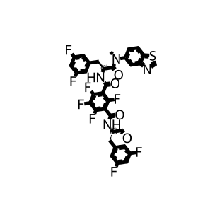 CN(C(=O)[C@H](Cc1cc(F)cc(F)c1)NC(=O)c1c(F)c(F)c(F)c(C(=O)N[C@H](C=O)Cc2cc(F)cc(F)c2)c1F)c1ccc2scnc2c1